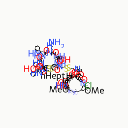 CCCCCCCC(=O)N[C@H](Cc1ccccc1)C(=O)N[C@H]1CSSC[C@@H](C(=O)NCCSSCCC(=O)N(C)[C@@H](C)C(=O)OC2CCC(=O)N(C)c3cc(cc(OC)c3Cl)C/C(C)=C/C=C/[C@@H](OC)[C@@]3(O)C[C@H](OC(=O)N3)[C@@H](C)[C@@H]3O[C@@]23C)NC(=O)[C@H]([C@@H](C)O)NC(=O)[C@H](CCCCN)NC(=O)[C@@H](Cc2c[nH]c3ccccc23)NC(=O)[C@H](Cc2ccc(O)cc2)NC1=O